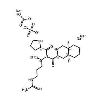 N=C(N)NCCC[C@@H](C=O)N(C(=O)[C@@H]1CCCN1)C(=O)[C@@H]1C[C@@H]2CCCC[C@@H]2CN1.O=S(=O)([O-])[O-].O=S([O-])O.[Na+].[Na+].[Na+]